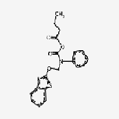 CCCC(=O)OC(=O)N(COc1nc2ccccc2s1)c1ccccc1